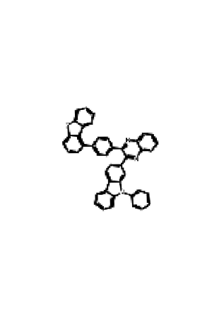 c1ccc(-n2c3ccccc3c3ccc(-c4nc5ccccc5nc4-c4ccc(-c5cccc6sc7ccccc7c56)cc4)cc32)cc1